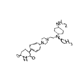 CN(CCN1CCN(c2ccc(C3CCC(=O)NC3=O)cc2)CC1)C1CCC(N)CC1